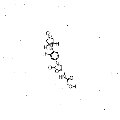 O=C(CO)NC[C@H]1CN(c2ccc([C@H]3[C@@H]4C[S+]([O-])C[C@@H]43)c(F)c2)C(=O)O1